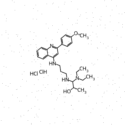 CCN(CC)C(NCCCNc1cc(-c2ccc(OC)cc2)nc2ccccc12)C(C)O.Cl.Cl